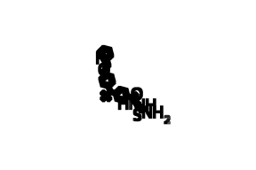 CC(C)(C)C(c1ccc(OCc2ccccn2)cc1)c1ccc(C(=O)NNC(N)=S)cc1